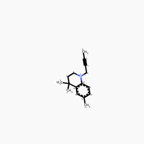 CC#CCN1CCC(C)(C)c2cc(C)ccc21